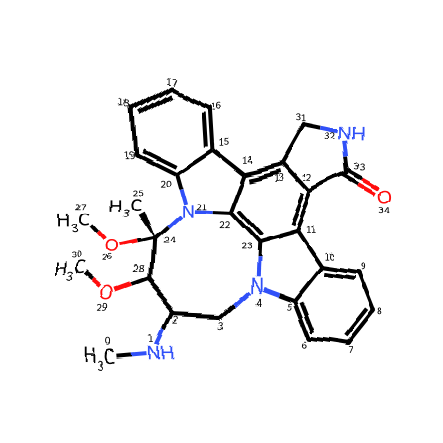 CNC1Cn2c3ccccc3c3c4c(c5c6ccccc6n(c5c32)[C@@](C)(OC)C1OC)CNC4=O